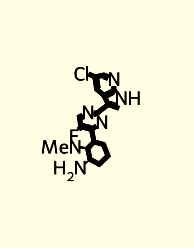 CN[C@H]1C(c2nc(-c3c[nH]c4ncc(Cl)cc34)ncc2F)CCC[C@@H]1N